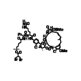 COc1cc2cc(c1Cl)N(C)C(=O)C[C@H](OC(=O)[C@H](C)N(C)C(=O)c1ccc(NC(=O)[C@H](CCCNC(N)=O)NC(=O)[C@@H](NC(=O)CCCCC(C)(C)OC(=O)C(CBr)CBr)C(C)C)cc1Cl)[C@]1(C)O[C@H]1[C@H](C)[C@@H]1C[C@@](O)(NC(=O)O1)[C@H](OC)/C=C/C=C(\C)C2